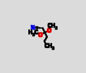 CCCC(CC#N)(OC)OC